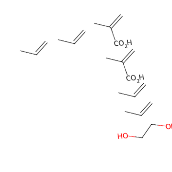 C=C(C)C(=O)O.C=C(C)C(=O)O.C=CC.C=CC.C=CC.C=CC.OCCO